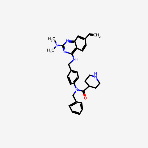 C=Cc1ccc2c(NCc3ccc(N(Cc4ccccc4)C(=O)C4CCNCC4)cc3)nc(N(C)C)nc2c1